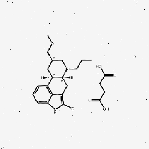 CCCN1C[C@H](COC)C[C@@H]2c3cccc4[nH]c(Cl)c(c34)C[C@H]21.O=C(O)CCC(=O)O